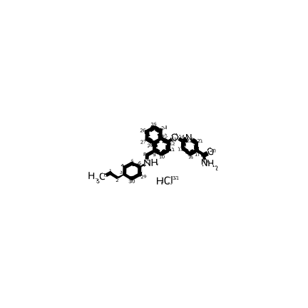 CCC[C@H]1CC[C@@H](NCc2ccc(Oc3ccc(C(N)=O)cn3)c3ccccc23)CC1.Cl